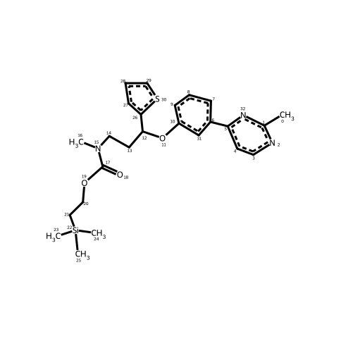 Cc1nccc(-c2cccc(OC(CCN(C)C(=O)OCC[Si](C)(C)C)c3cccs3)c2)n1